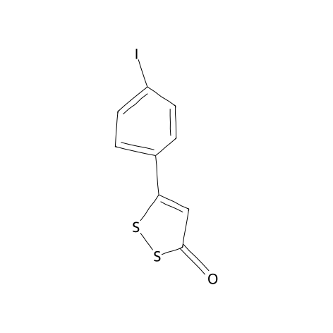 O=c1cc(-c2ccc(I)cc2)ss1